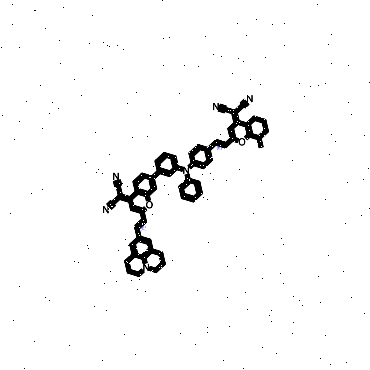 CC1CCCC2=C1OC(/C=C/c1ccc(N(c3ccccc3)c3cccc(-c4ccc5c(c4)OC(/C=C/c4cc6c7c(c4)CCCN7CCC6)=CC5=C(C#N)C#N)c3)cc1)=CC2=C(C#N)C#N